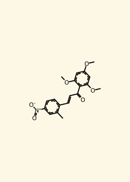 COc1cc(OC)c(C(=O)/C=C/c2ccc([N+](=O)[O-])cc2C)c(OC)c1